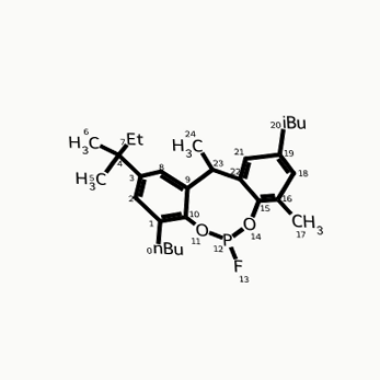 CCCCc1cc(C(C)(C)CC)cc2c1OP(F)Oc1c(C)cc(C(C)CC)cc1C2C